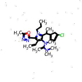 C=Cc1c(N(C)C(=C)N(C)C)c(C(C)C2=CC=C(Cl)C2)n(CCC)c1-c1nnc(C)o1